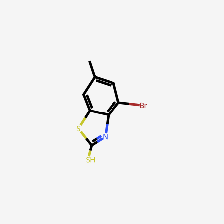 Cc1cc(Br)c2nc(S)sc2c1